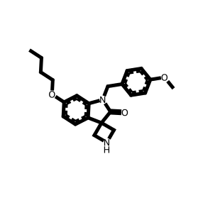 CCCCOc1ccc2c(c1)N(Cc1ccc(OC)cc1)C(=O)C21CNC1